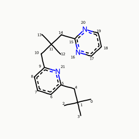 CC(C)(C)Cc1cccc(CC(C)(C)Cc2ncccn2)n1